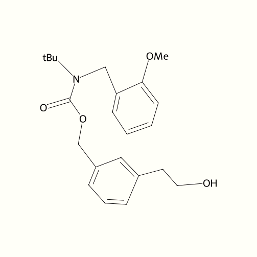 COc1ccccc1CN(C(=O)OCc1cccc(CCO)c1)C(C)(C)C